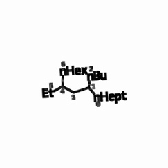 CCCCCCCC(CCCC)CC(CC)CCCCCC